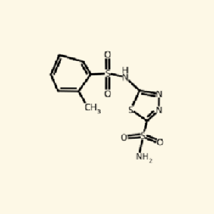 Cc1ccccc1S(=O)(=O)Nc1nnc(S(N)(=O)=O)s1